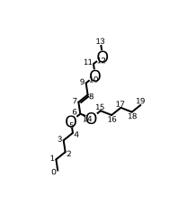 CCCCCOC(C=CCOCOC)OCCCCC